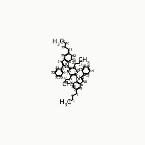 CCCCc1ccc2c(c1)cc(-c1ccccc1)n2-c1nc(CCC)c(-n2c(-c3ccccc3)cc3cc(CCCC)ccc32)nc1CCC